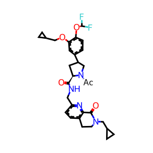 CC(=O)N1CC(c2ccc(OC(F)F)c(OCC3CC3)c2)C[C@@H]1C(=O)NCc1ccc2c(n1)C(=O)N(CC1CC1)CC2